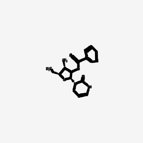 CC[C@H]1O[C@@H](N2CC=CNC2=O)C(OC(=O)c2ccccc2)[C@H]1C